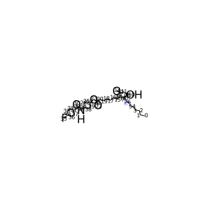 CCCCCC/C=C/[C@H]1[C@H](O)CC(=O)[C@@H]1CCCCCCC(=O)Oc1ccc(NC(=O)c2ccc(F)cc2)cc1